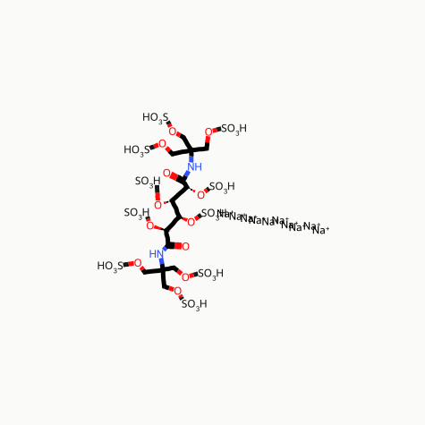 O=C(NC(COS(=O)(=O)O)(COS(=O)(=O)O)COS(=O)(=O)O)[C@@H](OS(=O)(=O)O)[C@H](OS(=O)(=O)O)[C@H](OS(=O)(=O)O)[C@@H](OS(=O)(=O)O)C(=O)NC(COS(=O)(=O)O)(COS(=O)(=O)O)COS(=O)(=O)O.[Na+].[Na+].[Na+].[Na+].[Na+].[Na+].[Na+].[Na+].[Na+].[Na+]